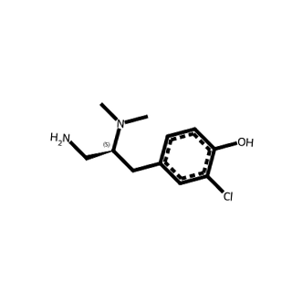 CN(C)[C@H](CN)Cc1ccc(O)c(Cl)c1